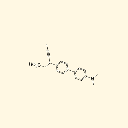 CC#CC(CC(=O)O)c1ccc(-c2ccc(N(C)C)cc2)cc1